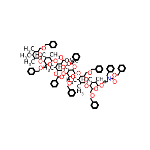 COC(=O)C1O[C@@H](O[C@@H]2C(COCc3ccccc3)O[C@@H](O[C@@H]3C(COCc4ccccc4)O[C@H](O[C@H]4C(COCc5ccccc5)O[C@H](OCCN(Cc5ccccc5)C(=O)OCc5ccccc5)C(C)[C@H]4C)C(C)[C@H]3C)C(OC(=O)c3ccccc3)[C@H]2C)C(OC(=O)c2ccccc2)[C@@H](C)[C@@H]1O[C@H]1OC(COCc2ccccc2)[C@H](O[C@H]2OC(COCc3ccccc3)[C@@H](C)[C@H](C)C2C)[C@H](C)C1C